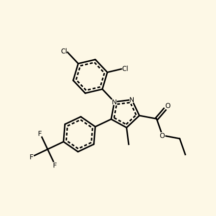 CCOC(=O)c1nn(-c2ccc(Cl)cc2Cl)c(-c2ccc(C(F)(F)F)cc2)c1C